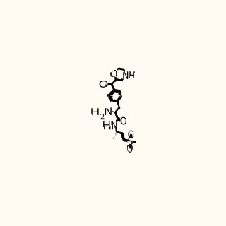 C[C@@H](C=CS(C)(=O)=O)NC(=O)[C@@H](N)Cc1ccc(C(=O)C2CNCCO2)cc1